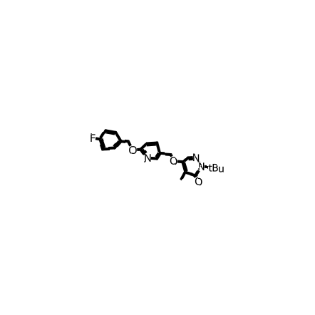 Cc1c(OCc2ccc(OCc3ccc(F)cc3)nc2)cnn(C(C)(C)C)c1=O